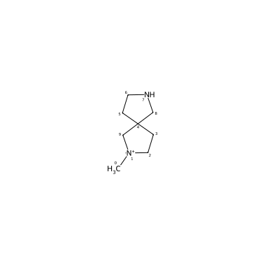 C[N+]1CCC2(CCNC2)C1